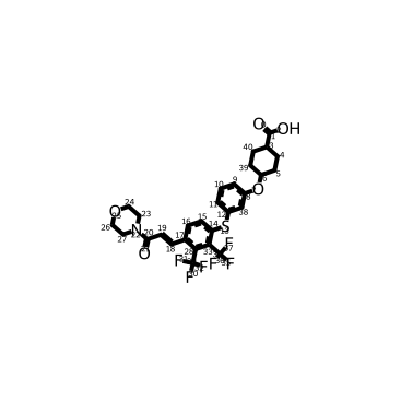 O=C(O)C1CCC(Oc2cccc(Sc3ccc(C=CC(=O)N4CCOCC4)c(C(F)(F)F)c3C(F)(F)F)c2)CC1